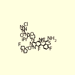 CC(C)C1N(C(=O)n2cnc(Cl)n2)CC12CN(c1nc(OC[C@@]34CCCN3C[C@H](F)C4)nc3c(F)c(-c4ccc(F)c5sc(N)c(C#N)c45)c(Cl)cc13)CCO2